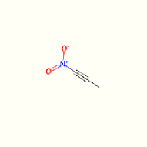 CC#C[N+](=O)[O-]